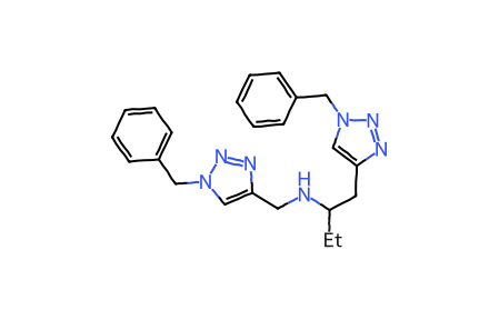 CCC(Cc1cn(Cc2ccccc2)nn1)NCc1cn(Cc2ccccc2)nn1